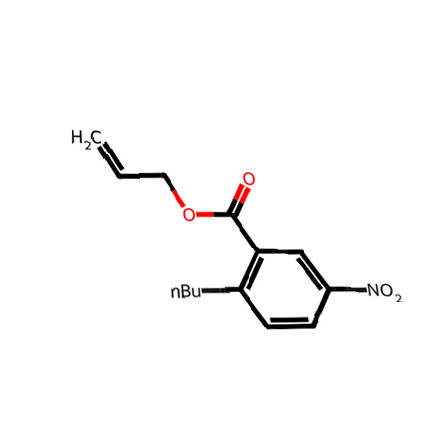 C=CCOC(=O)c1cc([N+](=O)[O-])ccc1CCCC